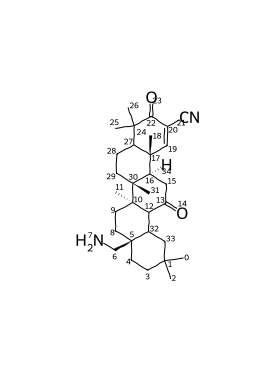 CC1(C)CC[C@]2(CN)CC[C@]3(C)C(C(=O)C[C@@H]4[C@@]5(C)C=C(C#N)C(=O)C(C)(C)C5CC[C@]43C)C2C1